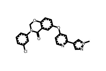 Cn1cc(-c2cc(Oc3ccc4c(c3)C(=O)N(c3cccc(Cl)c3)CO4)ccn2)cn1